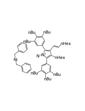 CCCCCCC=CC1=C(c2cc(CCCC)c(CCCC)c(CCCC)c2)[N+](=[N-])C(c2cc(CCCC)c(CCCC)c(CCCC)c2)=C1CCCCCC.c1ccc([CH2][Ni][CH2]c2ccccc2)cc1